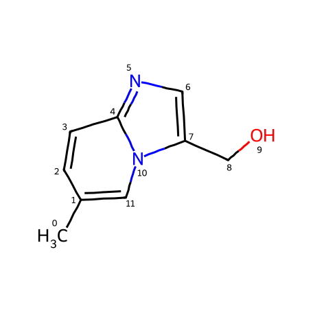 Cc1ccc2ncc(CO)n2c1